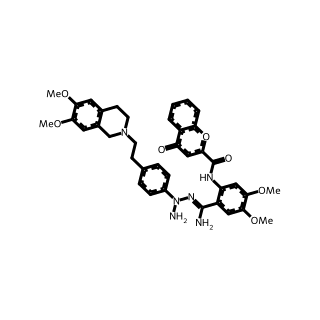 COc1cc2c(cc1OC)CN(CCc1ccc(N(N)/N=C(\N)c3cc(OC)c(OC)cc3NC(=O)c3cc(=O)c4ccccc4o3)cc1)CC2